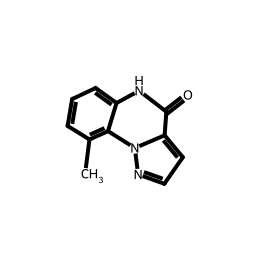 Cc1cccc2[nH]c(=O)c3ccnn3c12